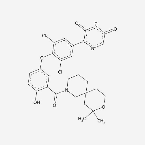 CC1(C)CC2(CCCN(C(=O)c3cc(Oc4c(Cl)cc(-n5ncc(=O)[nH]c5=O)cc4Cl)ccc3O)C2)CCO1